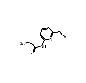 CC(C)(C)OC(=O)Nc1cccc(CBr)n1